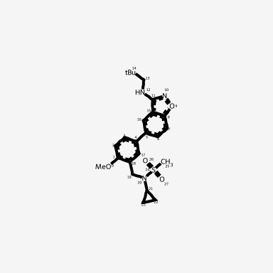 COc1ccc(-c2ccc3onc(NCC(C)(C)C)c3c2)cc1CN(C1CC1)S(C)(=O)=O